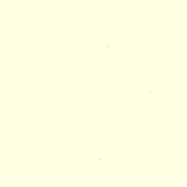 CN(C)c1ccncc1.Cc1ccc(O)cc1S(=O)(=O)O